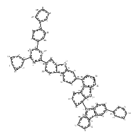 c1ccc(-c2ccc(-c3nc(-c4ccccc4)nc(-c4ccc5c(c4)oc4cc(-c6cccc7oc8c(-n9c%10ccccc%10c%10cc(-c%11ccccc%11)ccc%109)cccc8c67)ccc45)n3)cc2)cc1